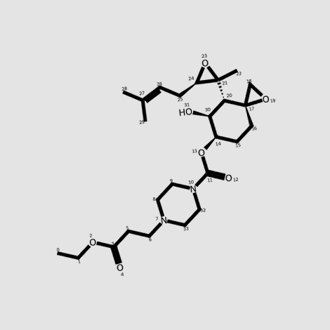 CCOC(=O)CCN1CCN(C(=O)O[C@@H]2CC[C@]3(CO3)[C@@H](C3(C)O[C@@H]3CC=C(C)C)[C@@H]2O)CC1